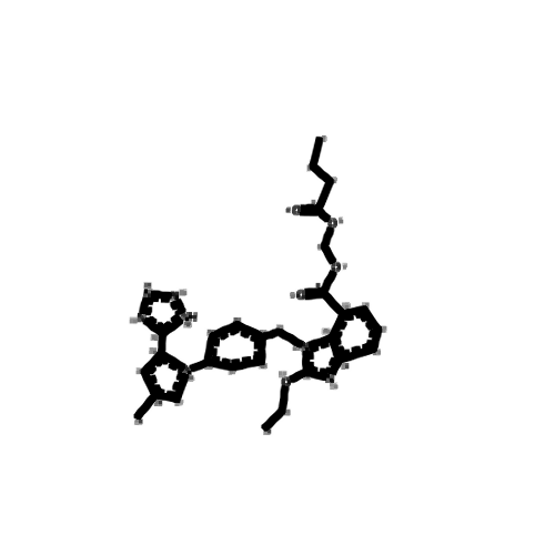 CCCC(=O)OCOC(=O)c1cccc2nc(OCC)n(Cc3ccc(-n4cc(C)cc4-c4nnn[nH]4)cc3)c12